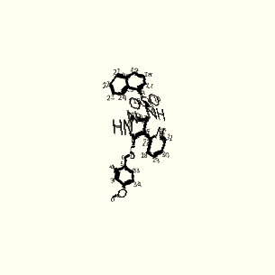 COc1ccc(CSc2[nH]nc(NS(=O)(=O)c3cccc4ccccc34)c2-c2ccccn2)cc1